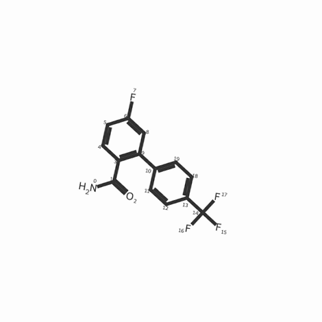 NC(=O)c1ccc(F)cc1-c1ccc(C(F)(F)F)cc1